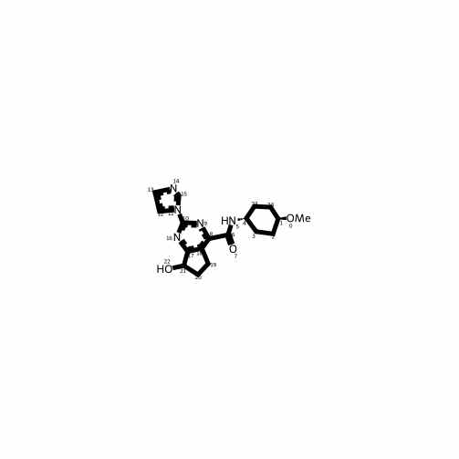 CO[C@H]1CC[C@H](NC(=O)c2nc(-n3ccnc3)nc3c2CCC3O)CC1